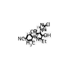 CCc1nn(-c2c(C)cc(C#N)cc2C)c(=O)c(-n2cnc(Cl)n2)c1O